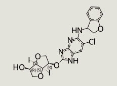 O[C@@H]1CO[C@]2(I)[C@H](Oc3nc4nc(NC5COc6ccccc65)c(Cl)cc4[nH]3)CO[C@]12I